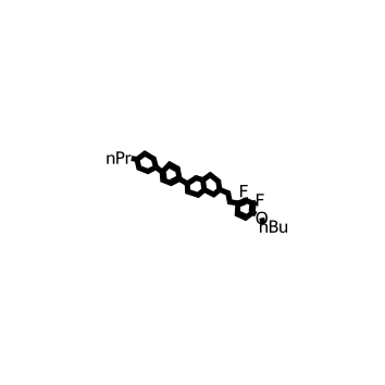 CCCCOc1ccc(CCC2CCC3CC(c4ccc(C5CCC(CCC)CC5)cc4)CCC3C2)c(F)c1F